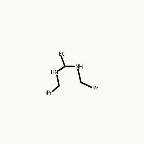 CCC(NCC(C)C)NCC(C)C